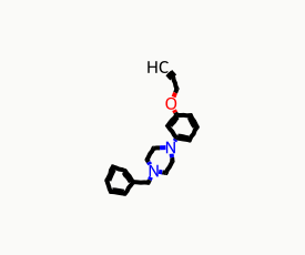 C#CCOc1cccc(N2CCN(Cc3ccccc3)CC2)c1